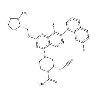 CN1CCC[C@H]1COc1nc(N2CCN(C(=O)O)[C@@H](CC#N)C2)c2cnc(-c3cccc4ccc(F)cc34)c(F)c2n1